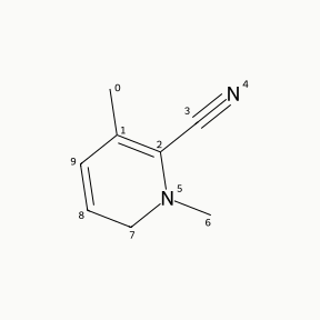 CC1=C(C#N)N(C)CC=C1